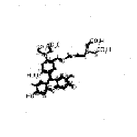 Cc1cc2c(-c3cc(COCOCCN(CC(=O)O)CC(=O)O)c(N(CC(=O)O)CC(=O)O)cc3C(=O)O)c3cc(C)c(=O)cc-3oc2cc1O